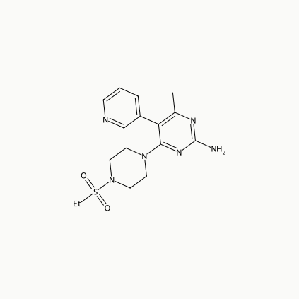 CCS(=O)(=O)N1CCN(c2nc(N)nc(C)c2-c2cccnc2)CC1